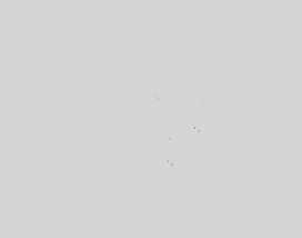 CN1CCN2C(=O)c3ccc(CO)n3CC12c1ccc(Cl)cc1